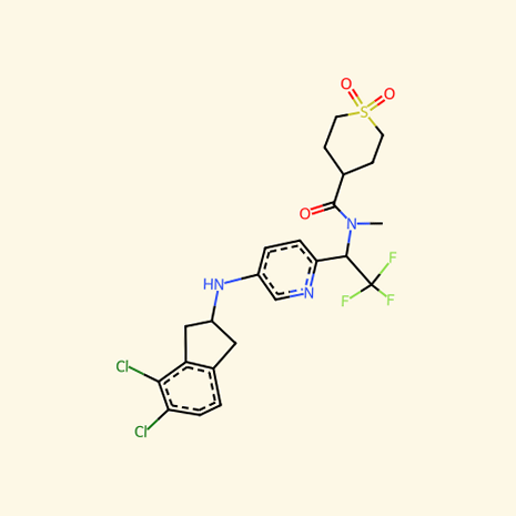 CN(C(=O)C1CCS(=O)(=O)CC1)C(c1ccc(NC2Cc3ccc(Cl)c(Cl)c3C2)cn1)C(F)(F)F